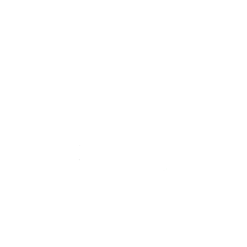 ClCOc1cc(OCCl)cc(-c2ccccc2)c1